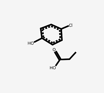 CCC(=O)O.Oc1ccc(Cl)cc1